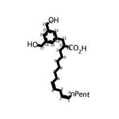 CCCCC/C=C\C/C=C\CCCCCCC(Cc1cc(CO)cc(CO)c1)C(=O)O